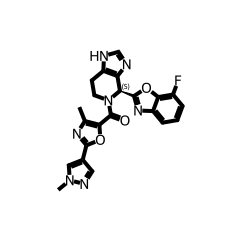 Cc1nc(-c2cnn(C)c2)oc1C(=O)N1CCc2[nH]cnc2[C@H]1c1nc2cccc(F)c2o1